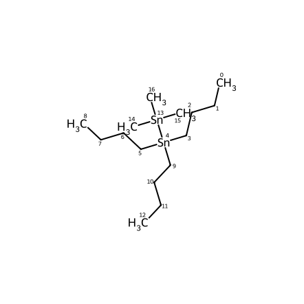 CCC[CH2][Sn]([CH2]CCC)([CH2]CCC)[Sn]([CH3])([CH3])[CH3]